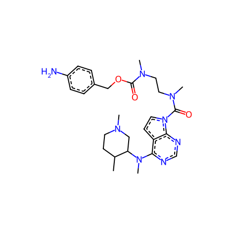 CC1CCN(C)CC1N(C)c1ncnc2c1ccn2C(=O)N(C)CCN(C)C(=O)OCc1ccc(N)cc1